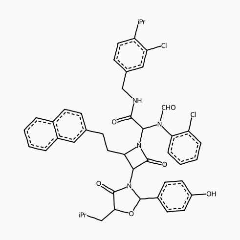 CC(C)CC1OC(c2ccc(O)cc2)N(C2C(=O)N(C(C(=O)NCc3ccc(C(C)C)c(Cl)c3)N(C=O)c3ccccc3Cl)C2CCc2ccc3ccccc3c2)C1=O